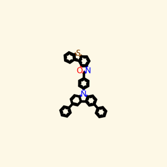 C1=CC2C(C=C1c1ccccc1)c1cc(-c3ccccc3)ccc1N2c1ccc(-c2nc3ccc4sc5ccccc5c4c3o2)cc1